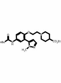 CCCCC(=O)Nc1ccc(OCCN2CCC(C(=O)OCC)CC2)c(-c2ccnn2C)c1